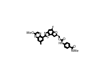 CNC(=O)c1ccc(NC(=O)OC[C@H]2Cc3c(c(F)cc4nc(-c5cc(C)cc6nc(OC)cnc56)sc34)O2)cc1